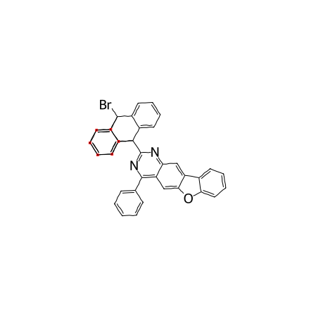 BrC12c3ccccc3C(c3nc(-c4ccccc4)c4cc5oc6ccccc6c5cc4n3)(c3ccccc31)c1ccccc12